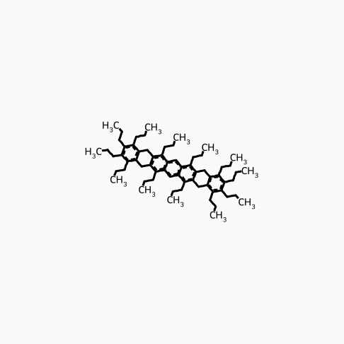 CCCc1c(CCC)c(CCC)c2c(c1CCC)Cc1c(c(CCC)c3cc4c(CCC)c5c(c(CCC)c4cc3c1CCC)Cc1c(CCC)c(CCC)c(CCC)c(CCC)c1C5)C2